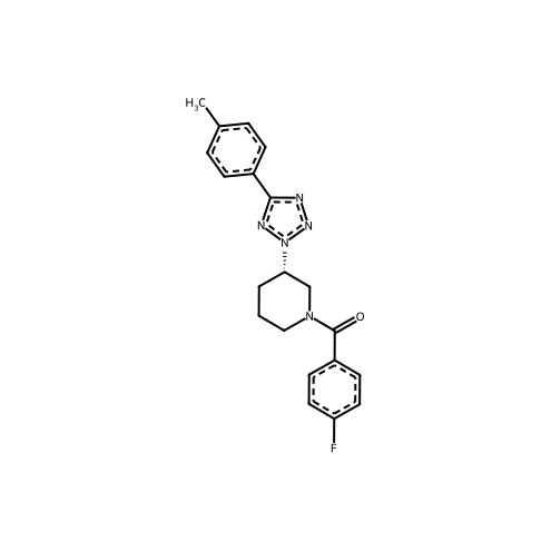 Cc1ccc(-c2nnn([C@H]3CCCN(C(=O)c4ccc(F)cc4)C3)n2)cc1